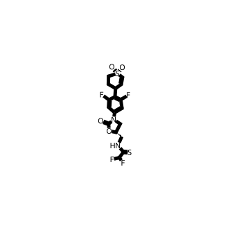 O=C1O[C@@H](CNC(=S)C(F)F)CN1c1cc(F)c(C2C=CS(=O)(=O)CC2)c(F)c1